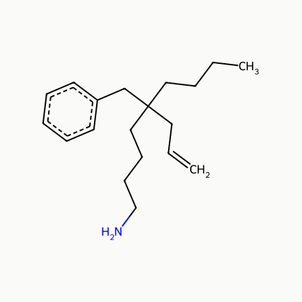 C=CCC(CCCC)(CCCCN)Cc1ccccc1